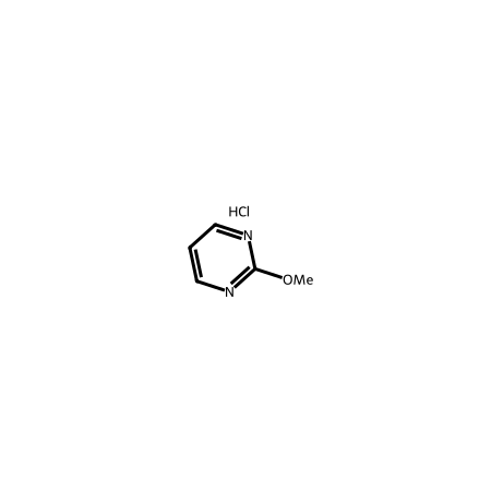 COc1ncccn1.Cl